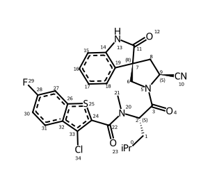 CC(C)C[C@@H](C(=O)N1C[C@]2(C[C@H]1C#N)C(=O)Nc1ccccc12)N(C)C(=O)c1sc2cc(F)ccc2c1Cl